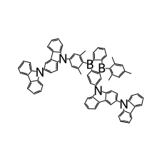 Cc1cc(C)c(B2c3ccccc3B(c3c(C)cc(-n4c5ccccc5c5cc(-n6c7ccccc7c7ccccc76)ccc54)cc3C)c3ccc(-n4c5ccccc5c5cc(-n6c7ccccc7c7ccccc76)ccc54)cc32)c(C)c1